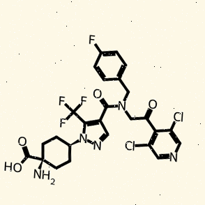 N[C@]1(C(=O)O)CC[C@H](n2ncc(C(=O)N(CC(=O)c3c(Cl)cncc3Cl)Cc3ccc(F)cc3)c2C(F)(F)F)CC1